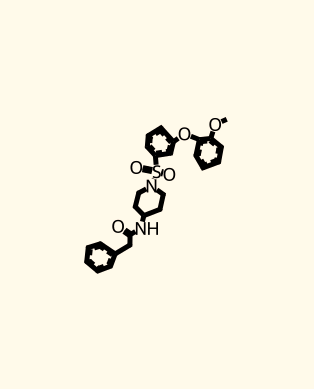 COc1ccccc1Oc1cccc(S(=O)(=O)N2CCC(NC(=O)Cc3ccccc3)CC2)c1